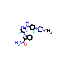 CN1CCN(c2ccc(Nc3ncc(F)c(-n4cc(C(N)=O)c5ccccc54)n3)cc2F)CC1